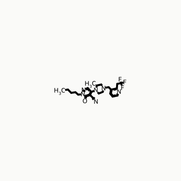 CCCCCn1ncc(N2CCN(Cc3cccnc3CC(F)(F)F)C[C@H]2C)c(C#N)c1=O